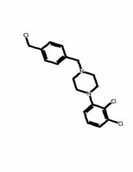 ClCc1ccc(CN2CCN(c3cccc(Cl)c3Cl)CC2)cc1